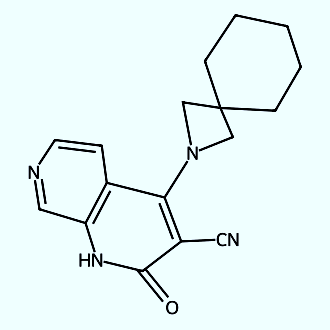 N#Cc1c(N2CC3(CCCCC3)C2)c2ccncc2[nH]c1=O